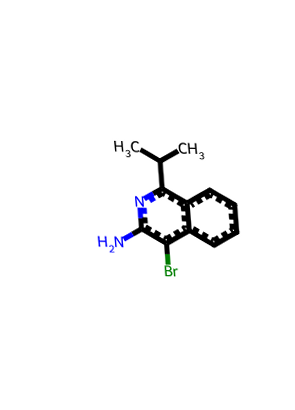 CC(C)c1nc(N)c(Br)c2ccccc12